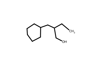 CCC(CO)CC1CCCCC1